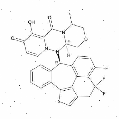 CC1COC[C@@H]2N1C(=O)c1c(O)c(=O)ccn1N2[C@@H]1c2ccccc2-c2scc3c2-c2c1ccc(F)c2C(F)(F)C3